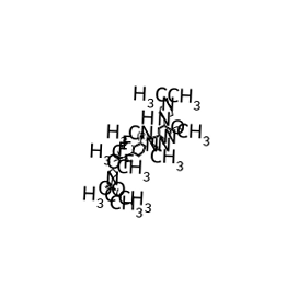 COc1nc2nc(C)nc(N[C@H](C)c3cccc(C(F)(F)C(C)(C)OC4CN(C(=O)OC(C)(C)C)C4)c3F)c2cc1N1CCN(C(C)C)CC1